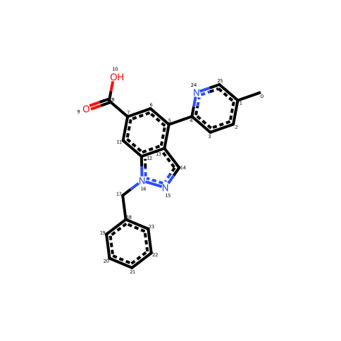 Cc1ccc(-c2cc(C(=O)O)cc3c2cnn3Cc2ccccc2)nc1